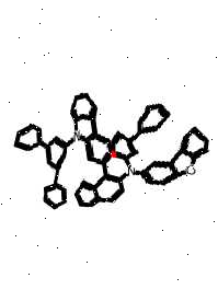 c1ccc(-c2cccc(N(c3ccc4oc5ccccc5c4c3)c3ccc4ccccc4c3-c3ccc4c5ccccc5n(-c5cc(-c6ccccc6)cc(-c6ccccc6)c5)c4c3)c2)cc1